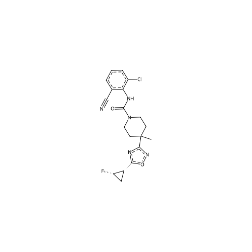 CC1(c2noc([C@@H]3C[C@@H]3F)n2)CCN(C(=O)Nc2c(Cl)cccc2C#N)CC1